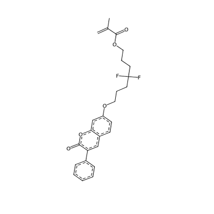 C=C(C)C(=O)OCCCC(F)(F)CCCOc1ccc2cc(-c3ccccc3)c(=O)oc2c1